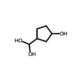 OC1CCC(C(O)O)C1